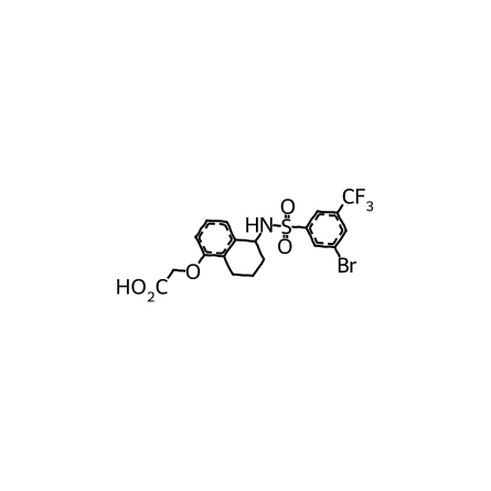 O=C(O)COc1cccc2c1CCCC2NS(=O)(=O)c1cc(Br)cc(C(F)(F)F)c1